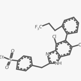 CCS(=O)(=O)c1ccc(Cc2nc3c(Cl)c(-c4ccccc4CCC(F)(F)F)c(Cl)cc3[nH]2)cc1